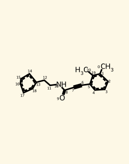 Cc1cccc(C#CC(=O)NCCc2ccccc2)c1C